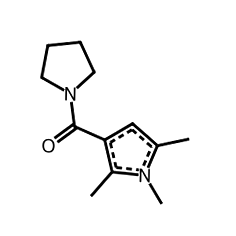 Cc1cc(C(=O)N2CCCC2)c(C)n1C